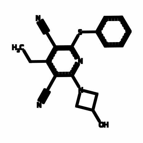 CCc1c(C#N)c(Sc2ccccc2)nc(N2CC(O)C2)c1C#N